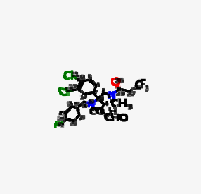 CN(C[C@](CCC=O)(c1ccc(Cl)c(Cl)c1)N(Cc1ccc(F)cc1)C(=O)O)C(=O)CC(F)(F)F